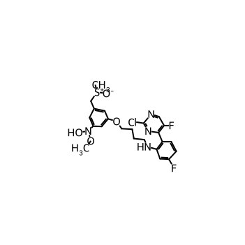 CON(O)c1cc(C[S+](C)[O-])cc(OCCCCNc2cc(F)ccc2-c2nc(Cl)ncc2F)c1